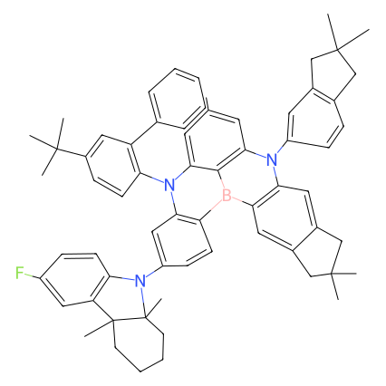 Cc1cc2c3c(c1)N(c1ccc(C(C)(C)C)cc1-c1ccccc1)c1cc(N4c5ccc(F)cc5C5(C)CCCCC45C)ccc1B3c1cc3c(cc1N2c1ccc2c(c1)CC(C)(C)C2)CC(C)(C)C3